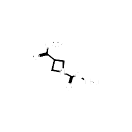 CCCCOC(=O)N1CC(C(=O)OC)C1